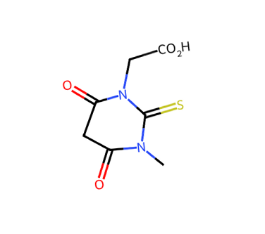 CN1C(=O)CC(=O)N(CC(=O)O)C1=S